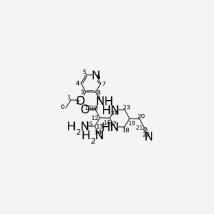 CCOc1ccncc1NC(=O)C(C(N)N)C1NCC(CC#N)CN1